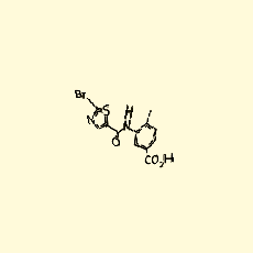 Cc1ccc(C(=O)O)cc1NC(=O)c1cnc(Br)s1